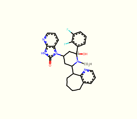 O=C(O)N1C(C2CCCCc3cccnc32)CC(n2c(=O)[nH]c3ncccc32)C[C@]1(O)c1cccc(F)c1F